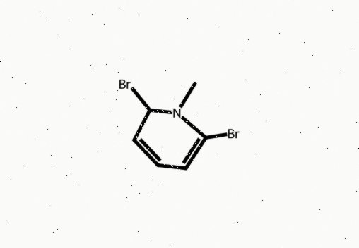 CN1C(Br)=CC=CC1Br